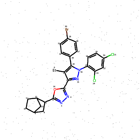 CCc1c(-c2nnc(C3CC4CCC3C4)o2)nn(-c2ccc(Cl)cc2Cl)c1-c1ccc(Br)cc1